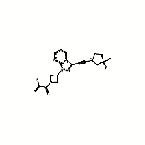 C=C(F)C(=O)N1CC(n2nc(C#C[C@H]3CCC(F)(F)C3)c3cccnc32)C1